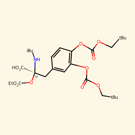 CCOC(=O)O[C@](Cc1ccc(OC(=O)OCC(C)(C)C)c(OC(=O)OCC(C)(C)C)c1)(NC(C)CC)C(=O)O